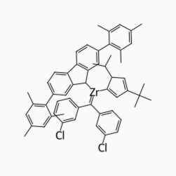 Cc1cc(C)c(-c2ccc3c(c2)[CH]([Zr]([C]2=CC(C(C)(C)C)=CC2C(C)C)=[C](c2cccc(Cl)c2)c2cccc(Cl)c2)c2cc(-c4c(C)cc(C)cc4C)ccc2-3)c(C)c1